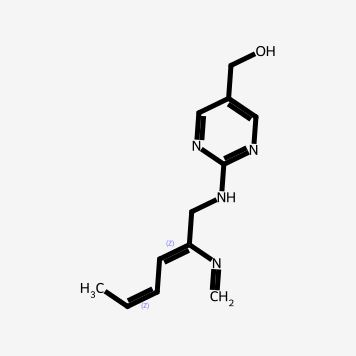 C=N/C(=C\C=C/C)CNc1ncc(CO)cn1